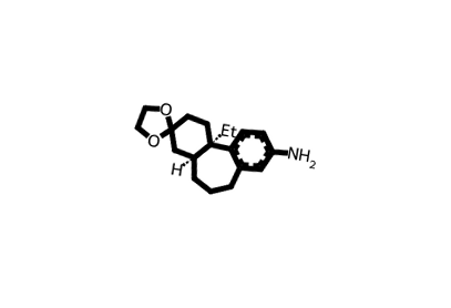 CC[C@@]12CCC3(C[C@@H]1CCCc1cc(N)ccc12)OCCO3